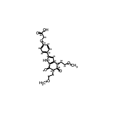 COCCn1c(=O)c2[nH]c(-c3ccc(OCC(=O)O)cc3)cc2n(CCOC)c1=O